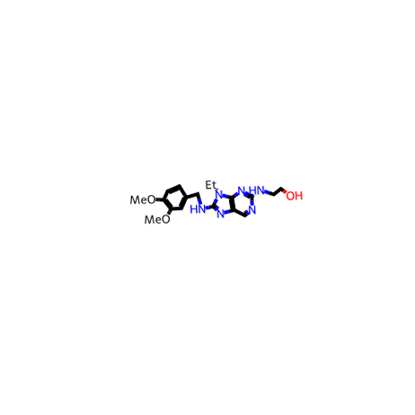 CCn1c(NCc2ccc(OC)c(OC)c2)nc2cnc(NCCO)nc21